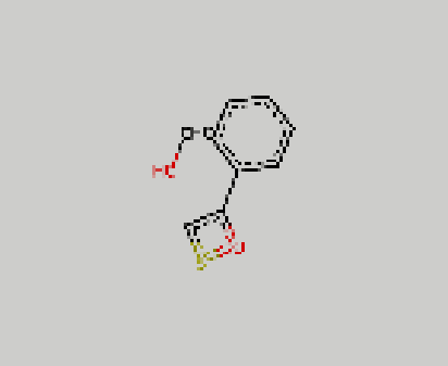 O=CO.c1ccc(-c2cso2)cc1